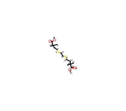 COC(=O)C(C)(C)CCSCCSCCC(C)(C)C(=O)OC